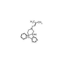 CC(C)=CCN1CC[C@@]2(c3ccccc3)Oc3ccccc3[C@H]2C1